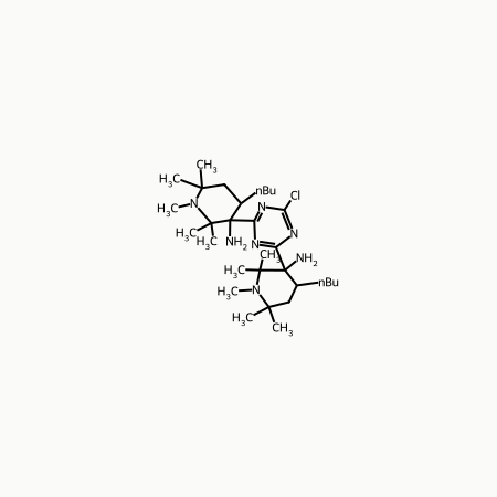 CCCCC1CC(C)(C)N(C)C(C)(C)C1(N)c1nc(Cl)nc(C2(N)C(CCCC)CC(C)(C)N(C)C2(C)C)n1